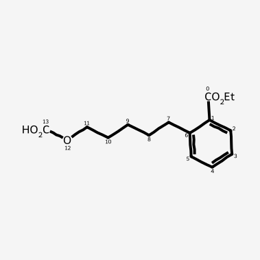 CCOC(=O)c1ccccc1CCCCCOC(=O)O